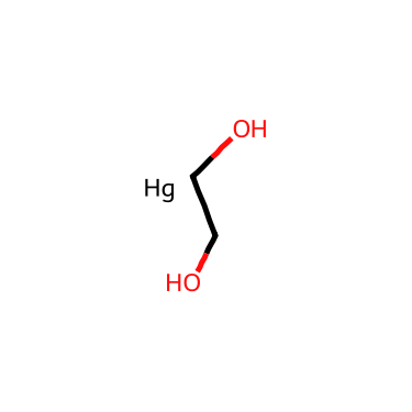 OCCO.[Hg]